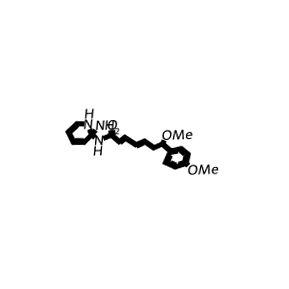 COc1ccc(C(C/C=C/C=C/C(=O)NC2(N)C=CC=CN2)OC)cc1